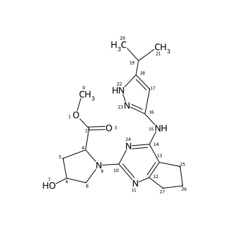 COC(=O)C1CC(O)CN1c1nc2c(c(Nc3cc(C(C)C)[nH]n3)n1)CCC2